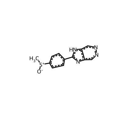 C[S+]([O-])c1ccc(-c2nc3cnncc3[nH]2)cc1